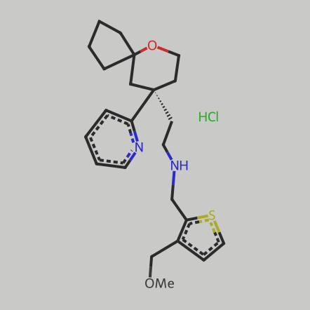 COCc1ccsc1CNCC[C@@]1(c2ccccn2)CCOC2(CCCC2)C1.Cl